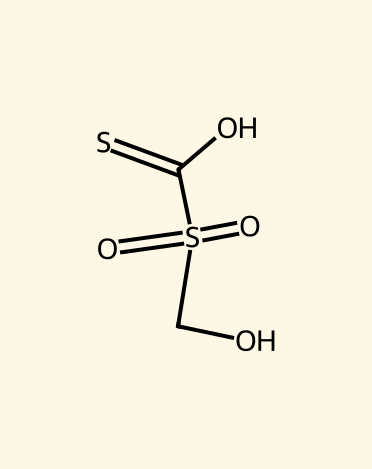 O=S(=O)(CO)C(O)=S